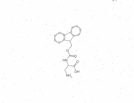 NCC(NC(=O)OCC1c2ccccc2-c2ccccc21)C(=O)O